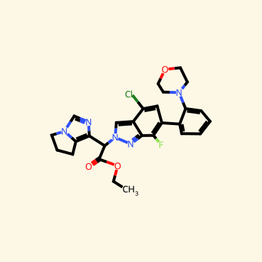 CCOC(=O)C(c1ncn2c1CCC2)n1cc2c(Cl)cc(-c3ccccc3N3CCOCC3)c(F)c2n1